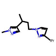 CC(C)c1ccn(CCC(C)c2cnn(C)c2)n1